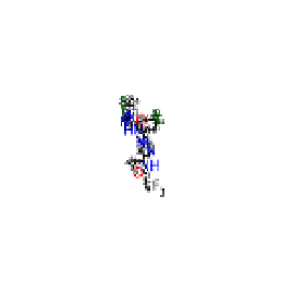 O=C(CCC(F)(F)F)N[C@@H](c1cnn2cc([C@@H](NC(=O)c3cnnn3CC3CCC3(F)F)C3CCC(F)(F)CC3)nc2c1)C1CCC1